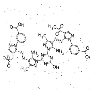 Cc1nn(-c2nc(O)nc(-n3nc(C)c(N=Nc4c(S(C)(=O)=O)cnn4-c4cccc(C(=O)O)c4)c3N)n2)c(N)c1N=Nc1c(C[SH](=O)=O)cnn1-c1cccc(C(=O)O)c1